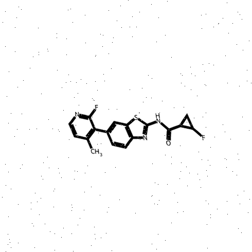 Cc1ccnc(F)c1-c1ccc2nc(NC(=O)C3CC3F)sc2c1